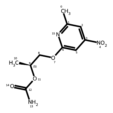 Cc1cc([N+](=O)[O-])cc(OC[C@H](C)OC(N)=O)n1